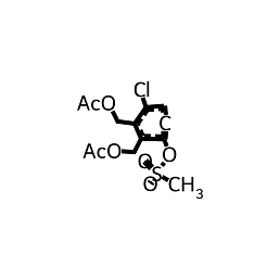 CC(=O)OCc1c(Cl)ccc(OS(C)(=O)=O)c1COC(C)=O